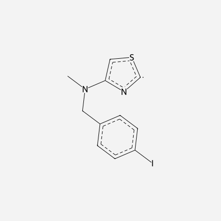 CN(Cc1ccc(I)cc1)c1cs[c]n1